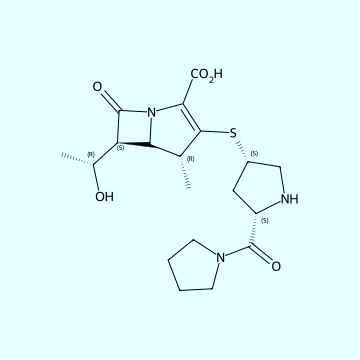 C[C@H]1C(S[C@@H]2CN[C@H](C(=O)N3CCCC3)C2)=C(C(=O)O)N2C(=O)[C@H]([C@@H](C)O)C12